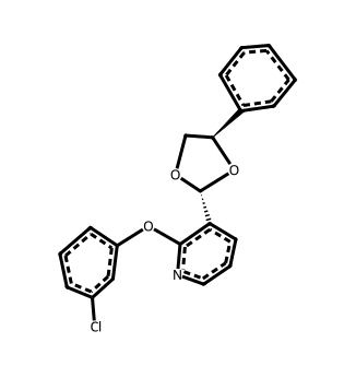 Clc1cccc(Oc2ncccc2[C@@H]2OC[C@@H](c3ccccc3)O2)c1